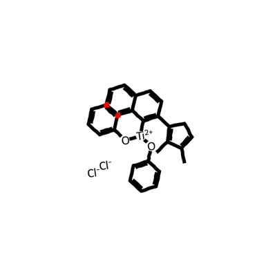 CC1=CCC(c2ccc3ccccc3[c]2[Ti+2]([O]c2ccccc2)[O]c2ccccc2)=C1C.[Cl-].[Cl-]